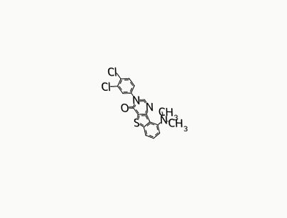 CN(C)c1cccc2sc3c(=O)n(-c4ccc(Cl)c(Cl)c4)cnc3c12